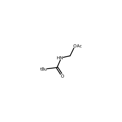 CC(=O)OCNC(=O)C(C)(C)C